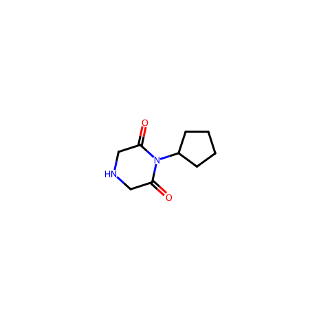 O=C1CNCC(=O)N1C1CCCC1